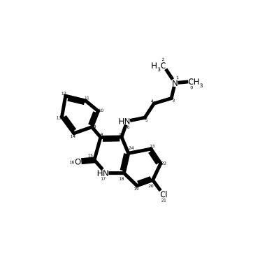 CN(C)CCCNc1c(-c2ccccc2)c(=O)[nH]c2cc(Cl)ccc12